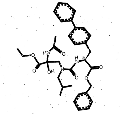 CCOC(=O)C(O)(CN(CC(C)C)C(=O)N[C@@H](Cc1ccc(-c2ccccc2)cc1)C(=O)OCc1ccccc1)NC(C)=O